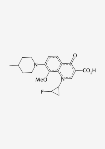 COc1c(N2CCC(C)CC2)ccc2c(=O)c(C(=O)O)cn(C3CC3F)c12